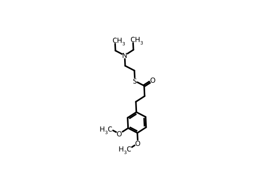 CCN(CC)CCSC(=O)CCc1ccc(OC)c(OC)c1